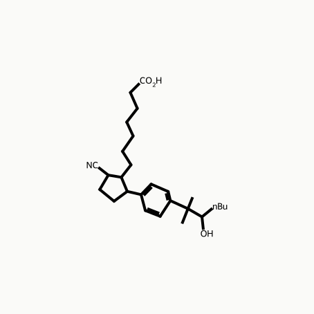 CCCCC(O)C(C)(C)c1ccc(C2CCC(C#N)C2CCCCCCC(=O)O)cc1